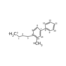 [CH2]CCCc1ccc(-c2ccccc2)cc1C